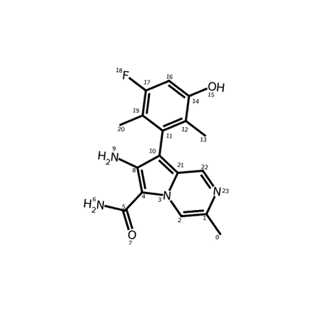 Cc1cn2c(C(N)=O)c(N)c(-c3c(C)c(O)cc(F)c3C)c2cn1